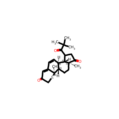 CC(C)(C)C(=O)C1CC(=O)[C@@]2(C)CC[C@H]3[C@@H](C=CC4=CC(=O)CC[C@@]43C)[C@H]12